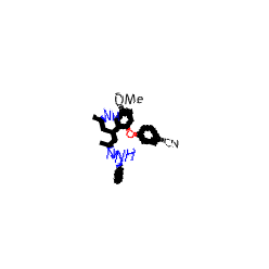 C#CN/N=C(/C)CC(CC(C)=N)c1cc(OC)ccc1Oc1ccc(C#N)cc1